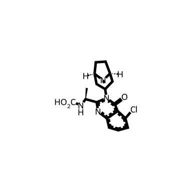 C[C@H](NC(=O)O)c1nc2cccc(Cl)c2c(=O)n1C1C[C@H]2CC[C@@H](C1)N2C